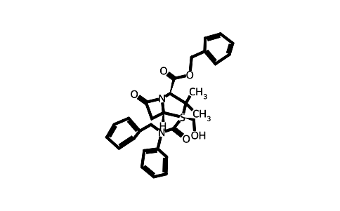 CC1(C)[C@H](C(=O)OCc2ccccc2)N2C(=O)C[C@H]2[S@@]1(CO)C(=O)N(Cc1ccccc1)c1ccccc1